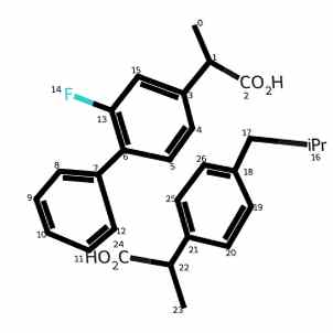 CC(C(=O)O)c1ccc(-c2ccccc2)c(F)c1.CC(C)Cc1ccc(C(C)C(=O)O)cc1